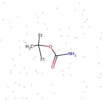 CCC(C)(CC)OC(N)=O